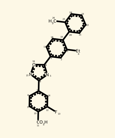 CCc1cc(-c2nc(-c3ccc(C(=O)O)c(F)c3)no2)ccc1-c1ccccc1C